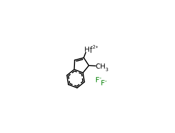 CC1[C]([Hf+2])=Cc2ccccc21.[F-].[F-]